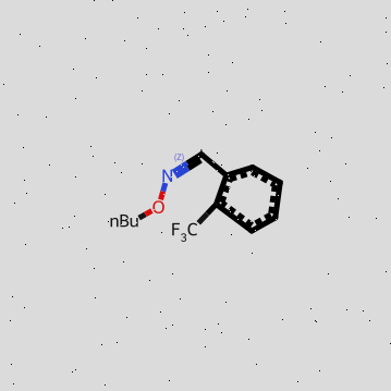 CCCCO/N=[C]\c1ccccc1C(F)(F)F